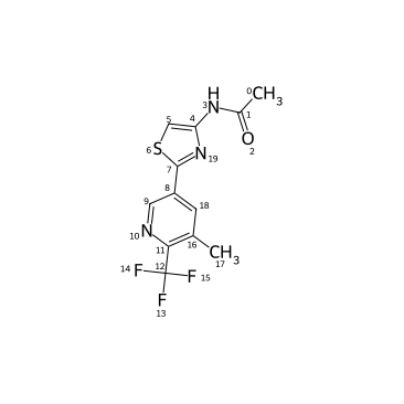 CC(=O)Nc1csc(-c2cnc(C(F)(F)F)c(C)c2)n1